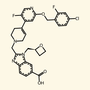 O=C(O)c1ccc2nc(CN3CC=C(c4cc(OCc5ccc(Cl)cc5F)ncc4F)CC3)n(C[C@@H]3CCO3)c2c1